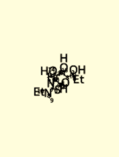 CC[C@H](O)C1O[C@@H]2SC(N(C)CC)=N[C@@H]2C(O)[C@@H]1O